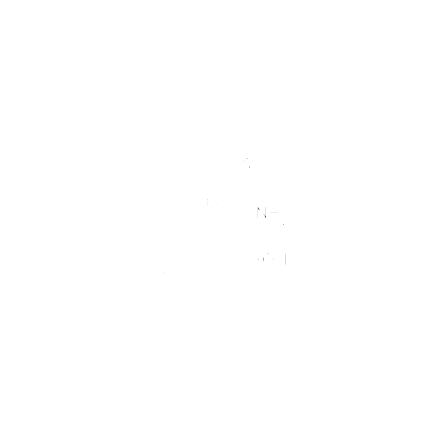 CC(C)C(C)CO.CCOC(N)=S